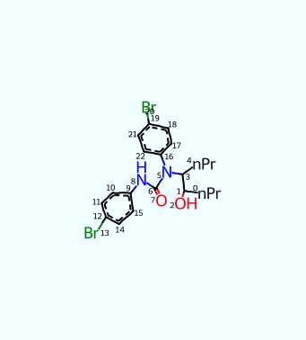 CCCC(O)C(CCC)N(C(=O)Nc1ccc(Br)cc1)c1ccc(Br)cc1